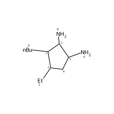 CCCCC1C(CC)CC(N)C1N